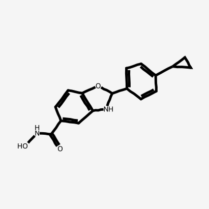 O=C(NO)c1ccc2c(c1)NC(c1ccc(C3CC3)cc1)O2